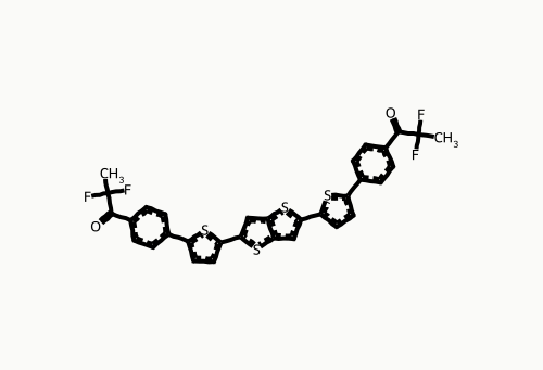 CC(F)(F)C(=O)c1ccc(-c2ccc(-c3cc4sc(-c5ccc(-c6ccc(C(=O)C(C)(F)F)cc6)s5)cc4s3)s2)cc1